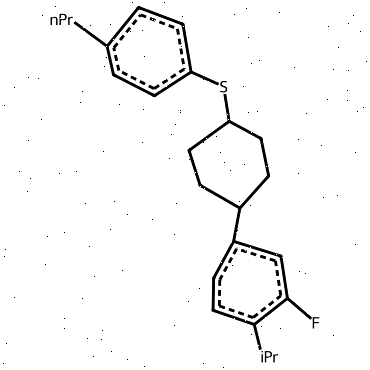 CCCc1ccc(SC2CCC(c3ccc(C(C)C)c(F)c3)CC2)cc1